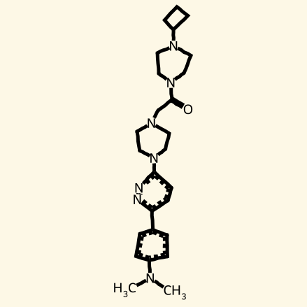 CN(C)c1ccc(-c2ccc(N3CCN(CC(=O)N4CCN(C5CCC5)CC4)CC3)nn2)cc1